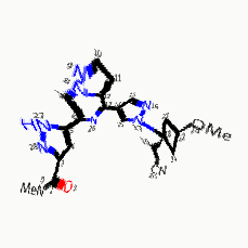 CNC(=O)c1cc(-c2cn3nccc3c(-c3cnn([C@]4(CC#N)C[C@@H](OC)C4)c3)n2)[nH]n1